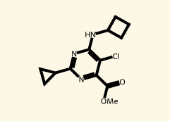 COC(=O)c1nc(C2CC2)nc(NC2CCC2)c1Cl